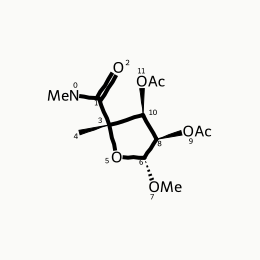 CNC(=O)[C@@]1(C)O[C@@H](OC)[C@H](OC(C)=O)[C@@H]1OC(C)=O